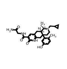 Cc1ccc(O)cc1C12CCN(CC3CC3)[C@H](C)[C@@H]1Cc1cc(C(=O)NCC(N)=O)c(=O)[nH]c1C2